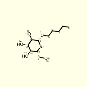 CCCCCO[C@@H]1S[C@H](CO)[C@@H](O)[C@H](O)[C@H]1O